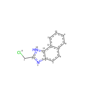 ClCc1nc2ccc3ccccc3c2[nH]1